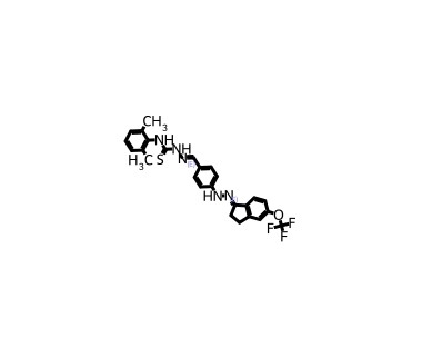 Cc1cccc(C)c1NC(=S)N/N=C/c1ccc(N/N=C2\CCc3cc(OC(F)(F)F)ccc32)cc1